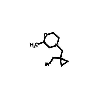 CC(C)CC1(CN2CCO[C@H](C)C2)CC1